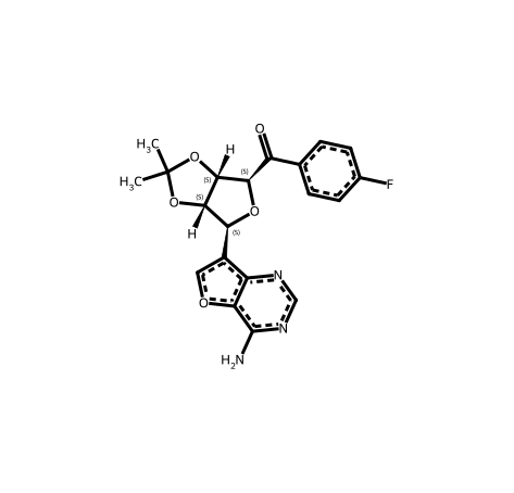 CC1(C)O[C@@H]2[C@H](O1)[C@@H](C(=O)c1ccc(F)cc1)O[C@H]2c1coc2c(N)ncnc12